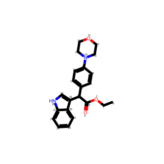 CCOC(=O)C(c1ccc(N2CCOCC2)cc1)c1c[nH]c2ccccc12